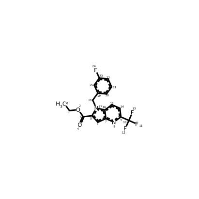 CCOC(=O)c1cc2nc(C(F)(F)F)ccc2n1Cc1cccc(F)c1